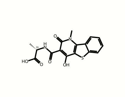 C[C@H](NC(=O)c1c(O)c2sc3ccccc3c2n(C)c1=O)C(=O)O